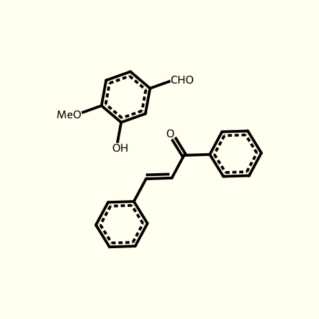 COc1ccc(C=O)cc1O.O=C(C=Cc1ccccc1)c1ccccc1